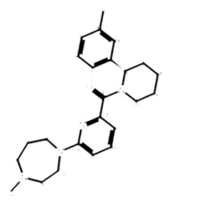 Cc1cccc([C@H]2CCCCN2C(=O)c2cccc(N3CCCN(C)CC3)n2)c1